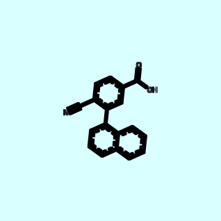 N#Cc1ccc(C(=O)O)cc1-c1cccc2ccccc12